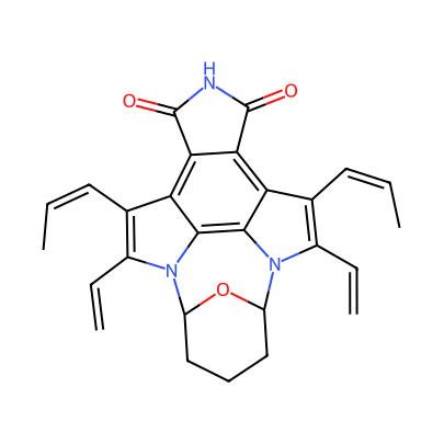 C=Cc1c(/C=C\C)c2c3c(c4c(/C=C\C)c(C=C)n5c4c2n1C1CCCC5O1)C(=O)NC3=O